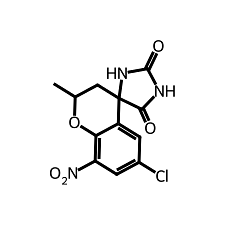 CC1CC2(NC(=O)NC2=O)c2cc(Cl)cc([N+](=O)[O-])c2O1